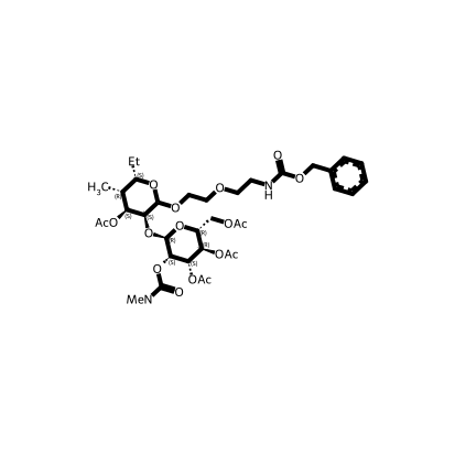 CC[C@@H]1OC(OCCOCCNC(=O)OCc2ccccc2)[C@@H](O[C@H]2O[C@H](COC(C)=O)[C@@H](OC(C)=O)[C@H](OC(C)=O)[C@@H]2OC(=O)NC)[C@@H](OC(C)=O)[C@@H]1C